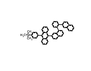 C[Si](C)(C)c1ccc(-c2c3ccccc3c(-c3ccc4cccc(-c5ccccc5-c5ccc6ccccc6c5)c4c3)c3ccccc23)cc1